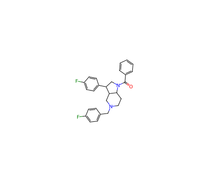 O=C(c1ccccc1)N1CC(c2ccc(F)cc2)C2CN(Cc3ccc(F)cc3)CCC21